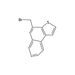 BrCc1cc2ccccc2c2ccsc12